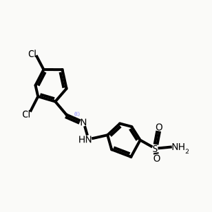 NS(=O)(=O)c1ccc(N/N=C/c2ccc(Cl)cc2Cl)cc1